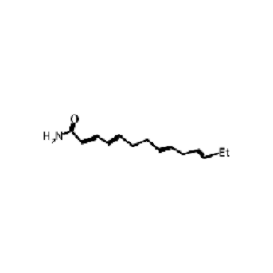 CCC=CCC=CCCC=CC=CC(N)=O